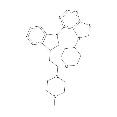 CN1CCN(CCC2CN(c3ncnc4c3N(C3CCOCC3)CS4)c3ccccc32)CC1